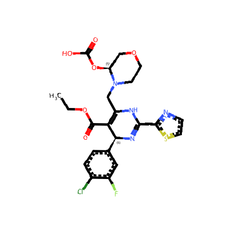 CCOC(=O)C1=C(CN2CCOC[C@@H]2OC(=O)O)NC(c2nccs2)=N[C@H]1c1ccc(Cl)c(F)c1